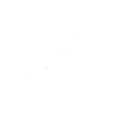 C=CC(=O)NC1CN(S(=O)(=O)C2CCN(C(=O)c3ccccn3)CC2)C1